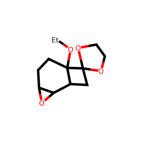 CCOC12CCC3OC3C1CC21OCCO1